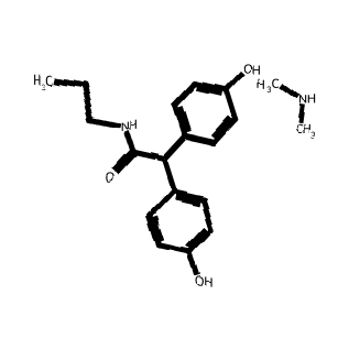 CCCNC(=O)C(c1ccc(O)cc1)c1ccc(O)cc1.CNC